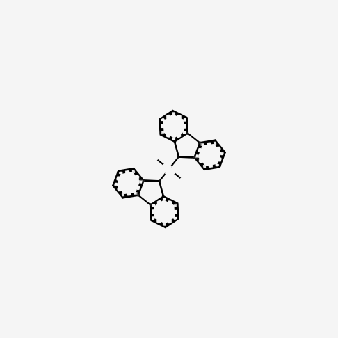 [CH3][Sc]([CH3])([CH]1c2ccccc2-c2ccccc21)[CH]1c2ccccc2-c2ccccc21